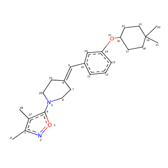 Cc1noc(N2CCC(=Cc3cccc(OC4CCC(C)(C)CC4)c3)CC2)c1C